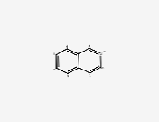 [c]1cc2ccccc2cn1